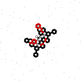 O=C1N2c3cc4c(cc3B(c3c(-c5ccccc5)cc(-c5ccccc5)cc3-c3ccccc3)c3ccc5ccc6c(c5c32)N1c1cc2c(cc1B6c1c(-c3ccccc3)cc(-c3ccccc3)cc1-c1ccccc1)C1c3ccccc3C2c2ccccc21)C1c2ccccc2C4c2ccccc21